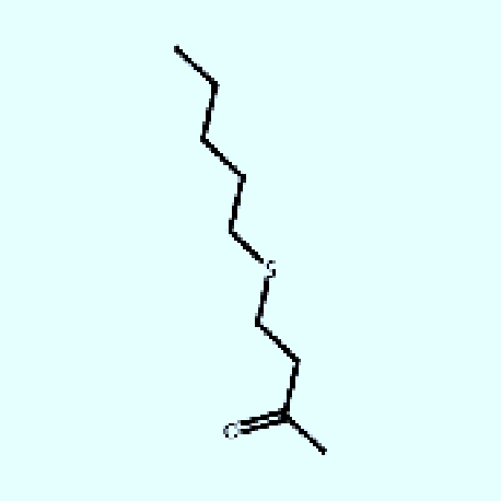 CCCCCSCCC(C)=O